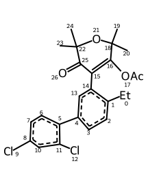 CCc1ccc(-c2ccc(Cl)cc2Cl)cc1C1=C(OC(C)=O)C(C)(C)OC(C)(C)C1=O